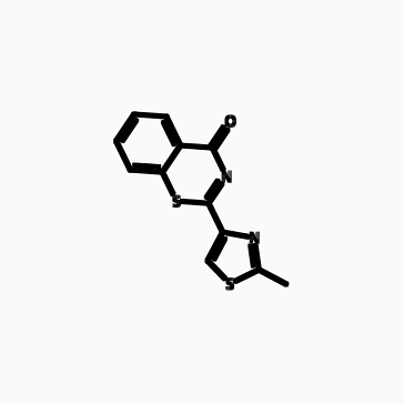 Cc1nc(-c2nc(=O)c3ccccc3s2)cs1